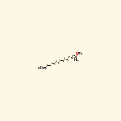 CCCCCCCCCCCCCCCCCCCCCCC[SiH2]OCC